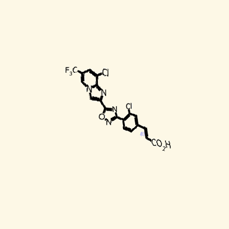 O=C(O)/C=C/c1ccc(-c2noc(-c3cn4cc(C(F)(F)F)cc(Cl)c4n3)n2)c(Cl)c1